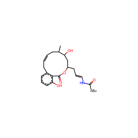 CCCCC(=O)N/C=C/CC1CC(O)C(C)C/C=C\Cc2cccc(O)c2C(=O)O1